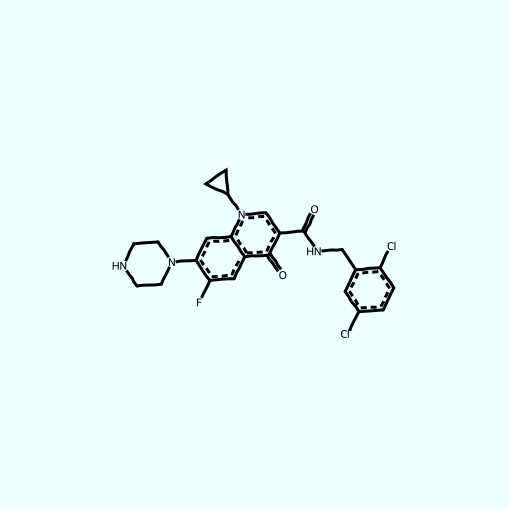 O=C(NCc1cc(Cl)ccc1Cl)c1cn(C2CC2)c2cc(N3CCNCC3)c(F)cc2c1=O